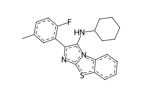 Cc1ccc(F)c(-c2nc3sc4ccccc4n3c2NC2CCCCC2)c1